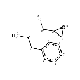 CCCc1ccccc1.[O]CC1CO1